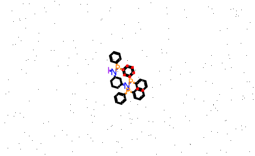 IN(C1CCCC(N(P(c2ccccc2)c2ccccc2)P(c2ccccc2)c2ccccc2)C1)P(c1ccccc1)c1ccccc1